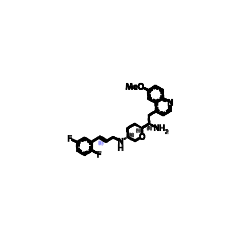 COc1ccc2nccc(C[C@@H](N)[C@@H]3CC[C@@H](NC/C=C/c4cc(F)ccc4F)CO3)c2c1